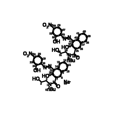 CCCCN(CCO)C(=O)c1cc2ccccc2c(N=Nc2ccc([N+](=O)[O-])cc2O)c1O.CCCCN(CCO)C(=O)c1cc2ccccc2c(N=Nc2ccc([N+](=O)[O-])cc2O)c1O.[Na]